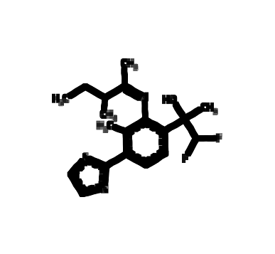 CCC(C)/C(C)=N\c1c(C(C)(O)C(F)F)ccc(-c2nccs2)c1C